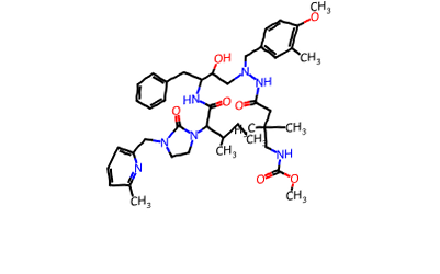 CCC(C)C(C(=O)NC(Cc1ccccc1)C(O)CN(Cc1ccc(OC)c(C)c1)NC(=O)CC(C)(C)CNC(=O)OC)N1CCN(Cc2cccc(C)n2)C1=O